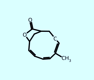 CC1=CCCC2CC(C=CC=C1)OC2=O